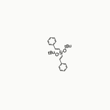 CC(C)(C)O[Si](C=Cc1ccccc1)(C=Cc1ccccc1)OC(C)(C)C